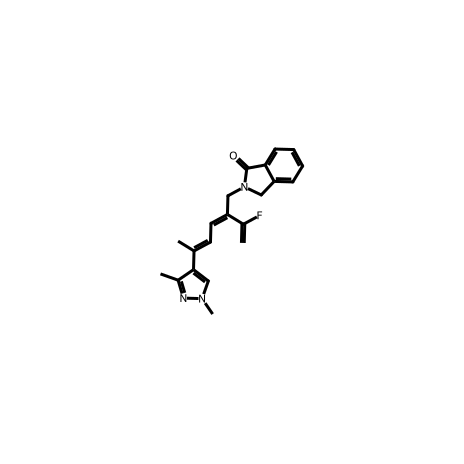 C=C(F)/C(=C\C=C(/C)c1cn(C)nc1C)CN1Cc2ccccc2C1=O